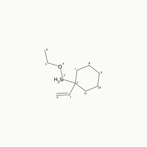 C=CC1([SiH2]OCC)CCCCC1